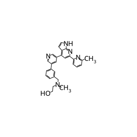 Cc1cccc(-c2cc(-c3cncc(-c4cccc(CN(C)CCO)c4)c3)c3cc[nH]c3n2)n1